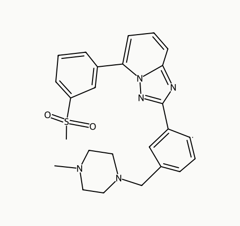 CN1CCN(Cc2cc[c]c(-c3nc4cccc(-c5cccc(S(C)(=O)=O)c5)n4n3)c2)CC1